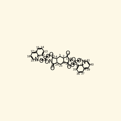 O=C1C2CC3C(=O)N(OS(=O)(=O)c4cccc5cccnc45)C(=O)C3CC2C(=O)N1OS(=O)(=O)c1cccc2cccnc12